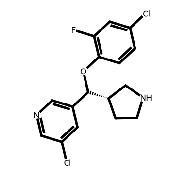 Fc1cc(Cl)ccc1OC(c1cncc(Cl)c1)[C@H]1CCNC1